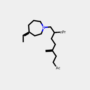 C=C(CCC(C)=O)CCC(CCC)CN1CCC/C(=C/C)CC1